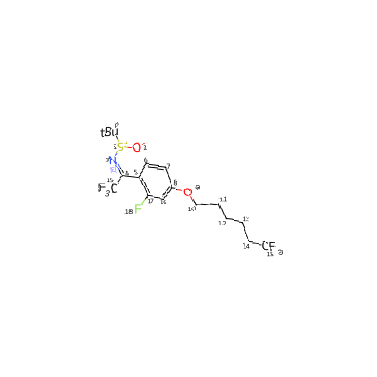 CC(C)(C)[S+]([O-])/N=C(\c1ccc(OCCCCCC(F)(F)F)cc1F)C(F)(F)F